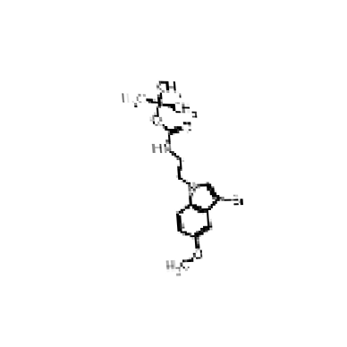 COc1ccc2c(c1)c(Br)cn2CCNC(=O)OC(C)(C)C